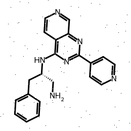 NC[C@H](Cc1ccccc1)Nc1nc(-c2ccncc2)nc2cnccc12